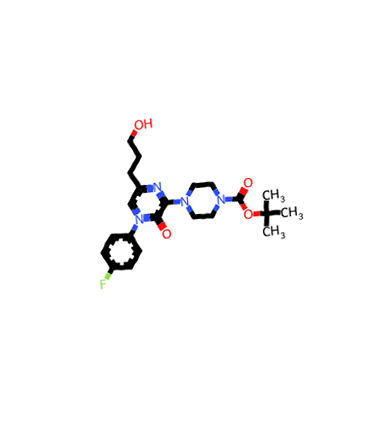 CC(C)(C)OC(=O)N1CCN(c2nc(CCCO)cn(-c3ccc(F)cc3)c2=O)CC1